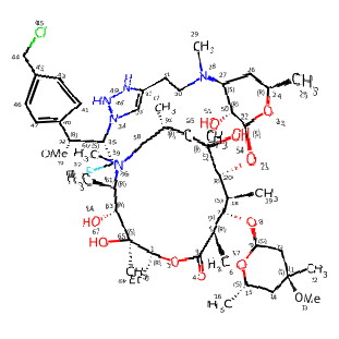 CC[C@H]1OC(=O)[C@H](C)[C@@H](O[C@H]2C[C@@](C)(OC)C[C@H](C)O2)[C@H](C)[C@@H](O[C@@H]2O[C@H](C)C[C@H](N(C)CCC3=CN([C@H](CF)[C@H](OC)c4ccc(CCl)cc4)NN3)[C@H]2O)[C@](C)(O)C[C@@H](C)CN(C)[C@H](C)[C@@H](O)[C@]1(C)O